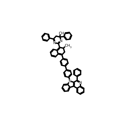 CC1CC(c2ccc(-c3ccc(-n4c5ccccc5c5c6ccccc6nc(-c6ccccc6)c54)cc3)cc2)=c2ccccc2=C1C1=NC(C)(c2ccccc2)CC(c2ccccc2)=N1